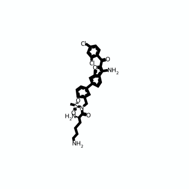 CS(=O)(=O)N(Cc1cccc(-c2ccc3c(N)c(C(=O)c4ccc(Cl)cc4Cl)oc3c2)c1)C(=O)[C@H](N)CCCCN